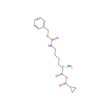 N[C@@H](CCCCNC(=O)OCc1ccccc1)C(=O)OC(=O)C1CC1